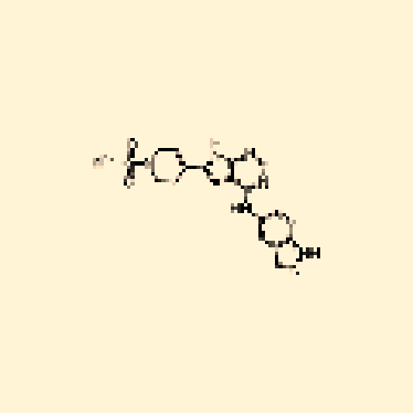 CCCS(=O)(=O)N1CC=C(c2cc3c(Nc4ccc5[nH]ncc5c4)ncnc3[nH]2)CC1